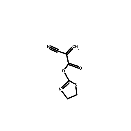 C=C(C#N)C(=O)OC1=NCCS1